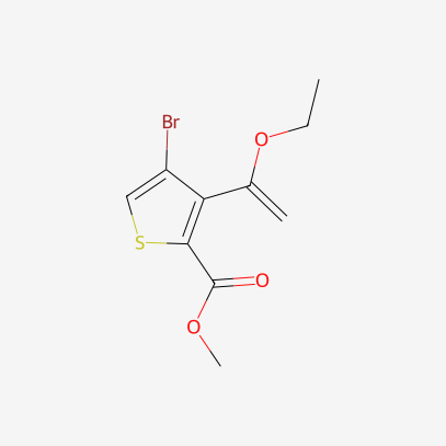 C=C(OCC)c1c(Br)csc1C(=O)OC